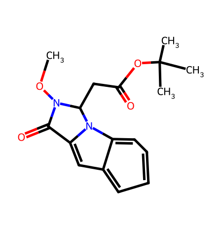 CON1C(=O)c2cc3ccccc3n2C1CC(=O)OC(C)(C)C